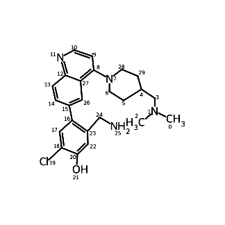 CN(C)CC1CCN(c2[c]cnc3ccc(-c4cc(Cl)c(O)cc4CN)cc23)CC1